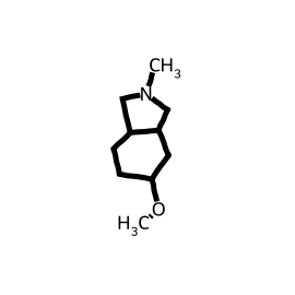 COC1CCC2CN(C)CC2C1